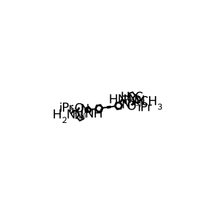 CC(C)[C@H](N)C(=O)N1CCC[C@H]1c1ncc(-c2ccc(C#Cc3ccc4nc([C@@H]5CCCN5C(=O)[C@H](C(C)C)N(C)C)[nH]c4c3)cc2)[nH]1